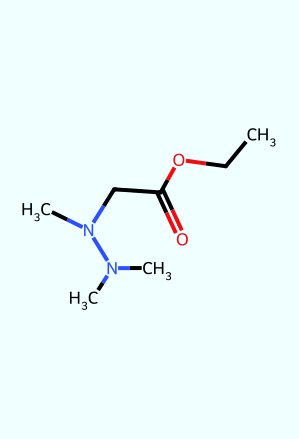 CCOC(=O)CN(C)N(C)C